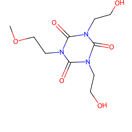 COCCn1c(=O)n(CCO)c(=O)n(CCO)c1=O